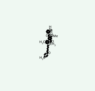 COc1cc(C(=O)N(C)c2ccc(C)cc2OCCCCCC(=O)N2CCN(C)CC2)ccc1C(=O)Nc1cccc2[nH]cnc12